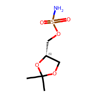 CC1(C)OC[C@@H](COS(N)(=O)=O)O1